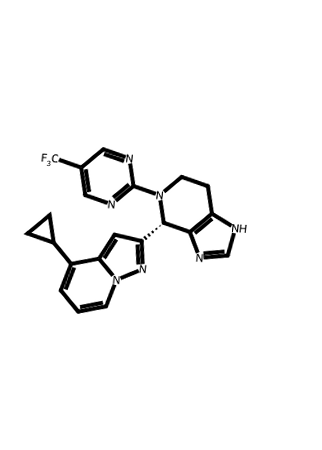 FC(F)(F)c1cnc(N2CCc3[nH]cnc3[C@@H]2c2cc3c(C4CC4)cccn3n2)nc1